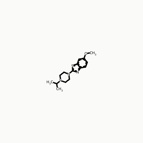 COc1ccc2nc(N3CCN(C(C)C)CC3)sc2c1